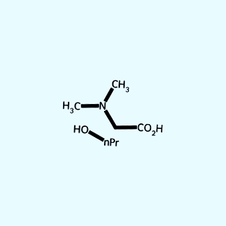 CCCO.CN(C)CC(=O)O